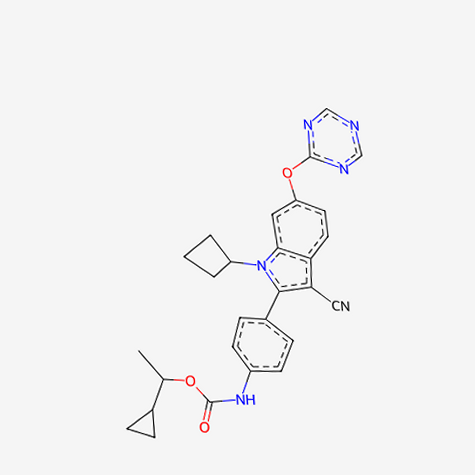 CC(OC(=O)Nc1ccc(-c2c(C#N)c3ccc(Oc4ncncn4)cc3n2C2CCC2)cc1)C1CC1